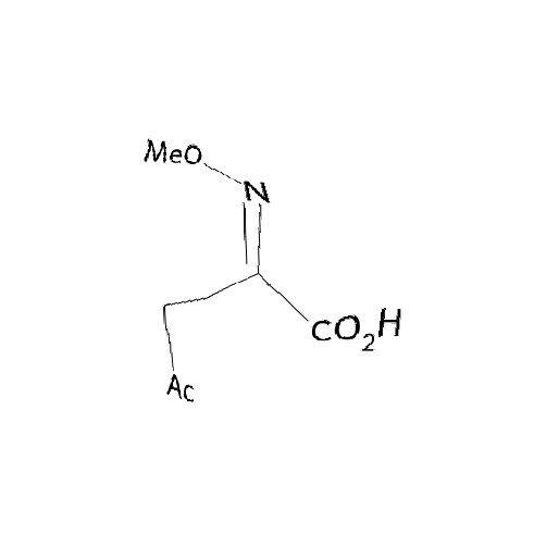 CON=C(CC(C)=O)C(=O)O